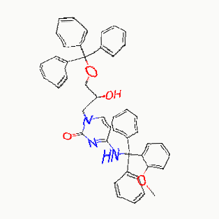 COc1ccccc1C(Nc1ccn(C[C@H](O)COC(c2ccccc2)(c2ccccc2)c2ccccc2)c(=O)n1)(c1ccccc1)c1ccccc1